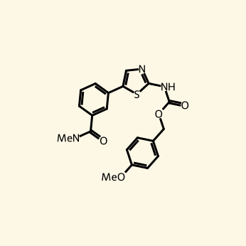 CNC(=O)c1cccc(-c2cnc(NC(=O)OCc3ccc(OC)cc3)s2)c1